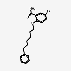 NC(=O)c1cc(Br)ccc1OCCCCCCc1ccccc1